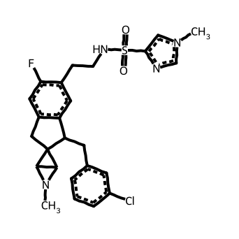 CN1C2C1C21Cc2cc(F)c(CCNS(=O)(=O)c3cn(C)cn3)cc2C1Cc1cccc(Cl)c1